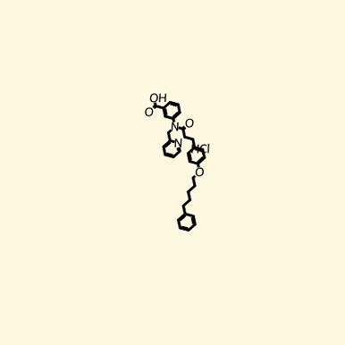 Cl.O=C(O)c1cccc(N(Cc2ccccn2)C(=O)CCc2ccc(OCCCCCc3ccccc3)cc2)c1